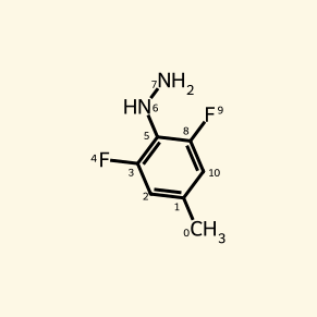 Cc1cc(F)c(NN)c(F)c1